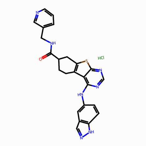 Cl.O=C(NCc1cccnc1)C1CCc2c(sc3ncnc(Nc4ccc5[nH]ncc5c4)c23)C1